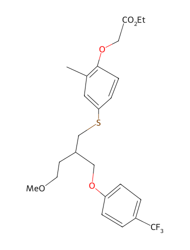 CCOC(=O)COc1ccc(SCC(CCOC)COc2ccc(C(F)(F)F)cc2)cc1C